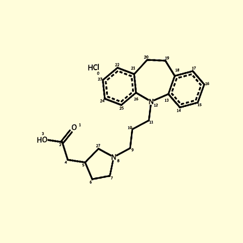 Cl.O=C(O)CC1CCN(CCCN2c3ccccc3CCc3ccccc32)C1